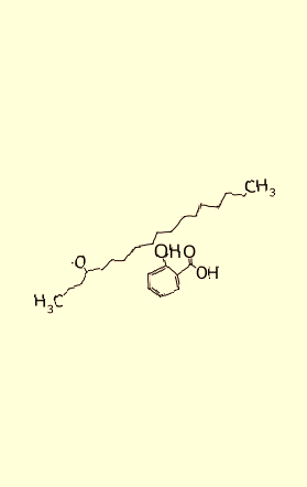 CCCCCCCCCCCCCCC([O])CCC.O=C(O)c1ccccc1O